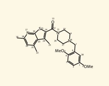 COc1ccc(OC)c(CN2CCN(C(=O)c3sc4nc(C)cc(C)c4c3C)CC2)c1